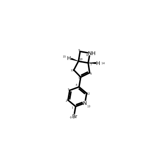 Brc1ccc(C2=C[C@H]3NC[C@H]3C2)cn1